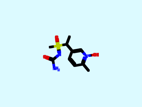 Cc1ccc(C(C)S(C)(=O)=NC(N)=O)c[n+]1O